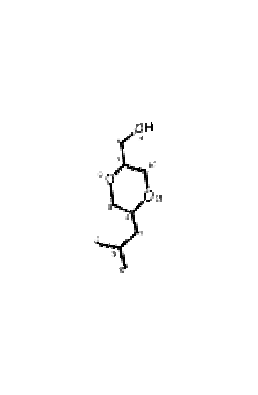 CC(C)CC1COC(CO)CO1